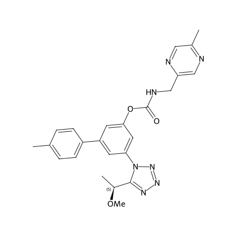 CO[C@@H](C)c1nnnn1-c1cc(OC(=O)NCc2cnc(C)cn2)cc(-c2ccc(C)cc2)c1